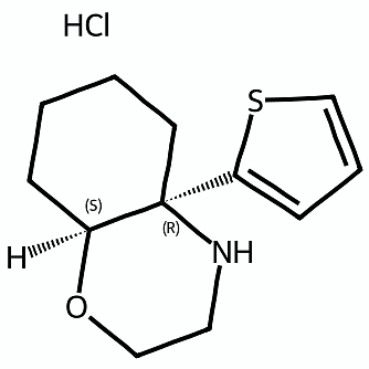 Cl.c1csc([C@@]23CCCC[C@@H]2OCCN3)c1